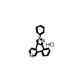 Cl.c1ccc(-n2cc3c4ccncc4c4ccccc4c3n2)cc1